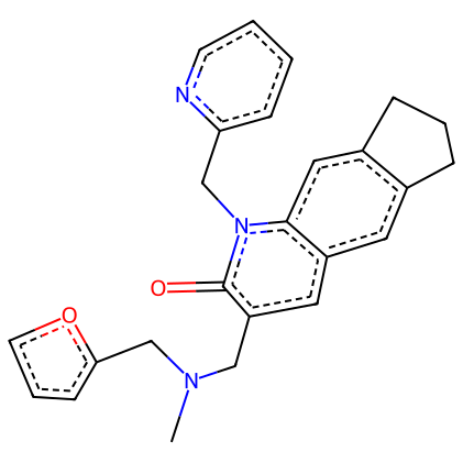 CN(Cc1ccco1)Cc1cc2cc3c(cc2n(Cc2ccccn2)c1=O)CCC3